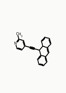 Cc1cc(C#CC2c3ccccc3C=C3C=CC=CC32)ccn1